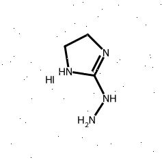 I.NNC1=NCCN1